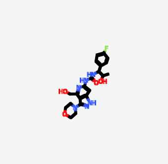 CC(O)C(NC(=O)Nc1cc2[nH]nc(N3CCOCC3)c2c(CO)n1)c1ccc(F)cc1